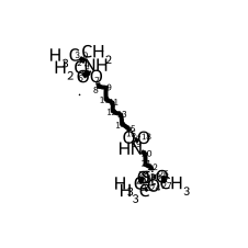 [CH2]C([CH2])(C)NC(=O)OCCCCCCCCOC(=O)NCCC[Si](OC)(OC)OC